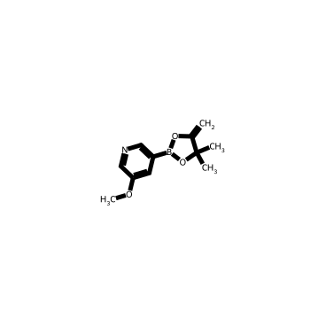 C=C1OB(c2cncc(OC)c2)OC1(C)C